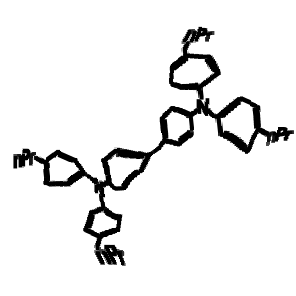 CCCc1ccc(N(c2ccc(CCC)cc2)c2ccc(-c3ccc(N(c4ccc(CCC)cc4)c4ccc(CCC)cc4)cc3)cc2)cc1